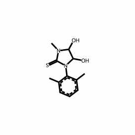 Cc1cccc(C)c1N1C(=S)N(C)C(O)C1O